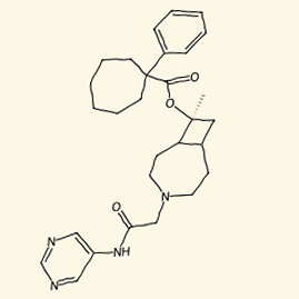 C[C@]1(OC(=O)C2(c3ccccc3)CCCCCC2)CC2CCN(CC(=O)Nc3cncnc3)CCC21